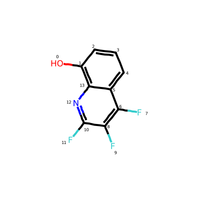 Oc1cccc2c(F)c(F)c(F)nc12